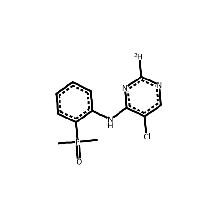 [2H]c1ncc(Cl)c(Nc2ccccc2P(C)(C)=O)n1